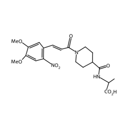 COc1cc(C=CC(=O)N2CCC(C(=O)NC(C)C(=O)O)CC2)c([N+](=O)[O-])cc1OC